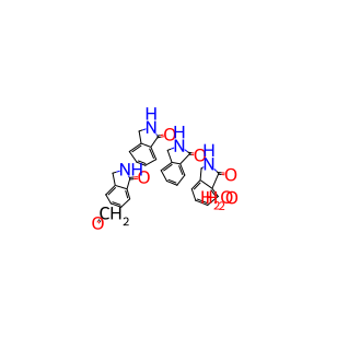 C=O.O.O.O=C1NCc2ccccc21.O=C1NCc2ccccc21.O=C1NCc2ccccc21.O=C1NCc2ccccc21